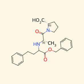 C[C@H](NC(CCc1ccccc1)C(=O)OCc1ccccc1)C(=O)N1CCC[C@H]1C(=O)O